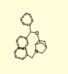 c1ccc(CN2CC3CCC2C(OC(c2ccccc2)c2ccccc2)C3)cc1